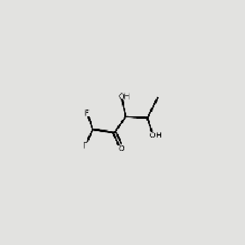 CC(O)C(O)C(=O)C(F)F